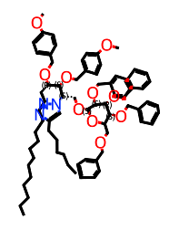 CCCCCCCCCCCCCC[C@@H](OCc1ccc(OC)cc1)[C@@H](OCc1ccc(OC)cc1)[C@H](CO[C@H]1OC(COCc2ccccc2)[C@H](OCc2ccccc2)[C@@H](OCc2ccccc2)[C@@H]1OCc1ccccc1)n1cc(CCCCCC)nn1